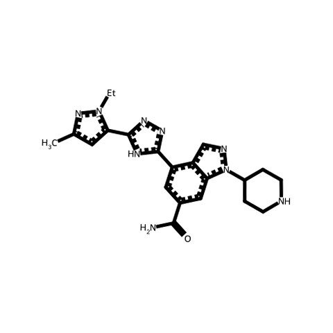 CCn1nc(C)cc1-c1nnc(-c2cc(C(N)=O)cc3c2cnn3C2CCNCC2)[nH]1